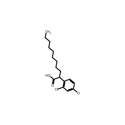 CCCCCCCCCC(C(=O)O)c1ccc(Cl)cc1Cl